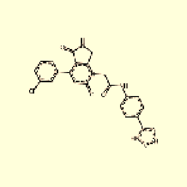 O=C(Cn1c2c(c(-c3cccc(Cl)c3)cc1=O)C(=O)NC2)Nc1ccc(-c2nnn[nH]2)cc1